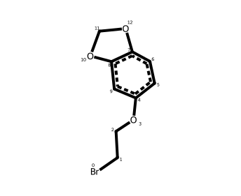 BrCCOc1ccc2c(c1)OCO2